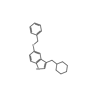 c1ccc(COc2ccc3[nH]cc(CC4CCCCC4)c3c2)cc1